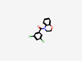 O=C(c1cc(Cl)cc(Cl)c1)N1CCOc2ccccc21